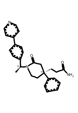 C[C@@H](c1ccc(-c2ccncc2)cc1)N1CC[C@](CCC(N)=O)(c2ccccc2)CC1=O